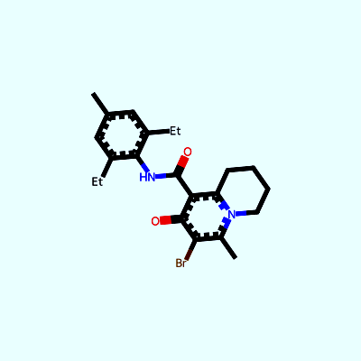 CCc1cc(C)cc(CC)c1NC(=O)c1c2n(c(C)c(Br)c1=O)CCCC2